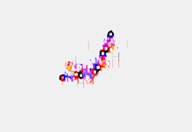 Cc1c(N=Nc2c(S(=O)(=O)O)cc3cc(OS(=O)O)c(/N=N/c4ccc5c(O)c(N=Nc6ccccc6)c(SOOO)cc5c4C)c(O)c3c2N)ccc2c(O)c(N=Nc3ccccc3)c(S(=O)(=O)O)cc12